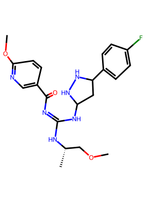 COC[C@H](C)N/C(=N/C(=O)c1ccc(OC)nc1)NC1CC(c2ccc(F)cc2)NN1